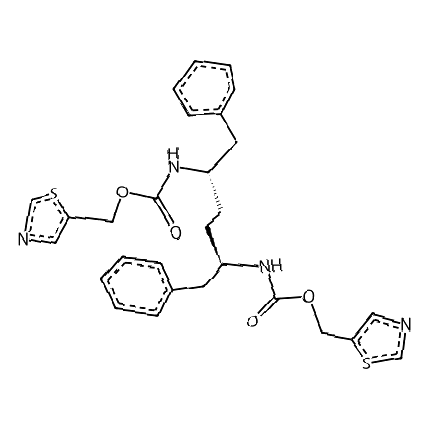 O=C(N[C@H](CC[C@@H](Cc1ccccc1)NC(=O)OCc1cncs1)Cc1ccccc1)OCc1cncs1